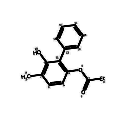 CCC(=O)Oc1ccc(C)c(O)c1-c1ccccc1